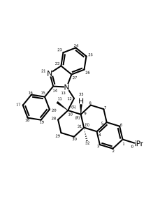 CC(C)c1ccc2c(c1)CC[C@H]1[C@@](C)(Cn3c(-c4ccccc4)nc4ccccc43)CCC[C@]21C